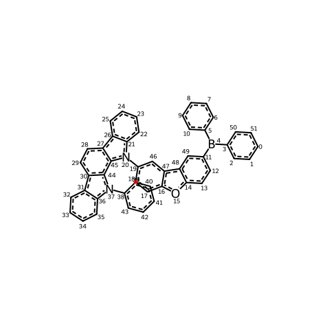 c1ccc(B(c2ccccc2)c2ccc3oc4ccc(-n5c6ccccc6c6ccc7c8ccccc8n(-c8ccccc8)c7c65)cc4c3c2)cc1